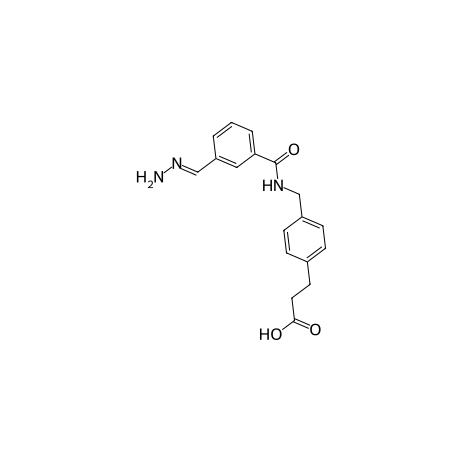 NN=Cc1cccc(C(=O)NCc2ccc(CCC(=O)O)cc2)c1